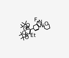 CC/C(B1OC(C)(C)C(C)(C)O1)=C(/B1OC(C)(C)C(C)(C)O1)C1C=Cc2c(c(F)nn2C2CCCCO2)C1